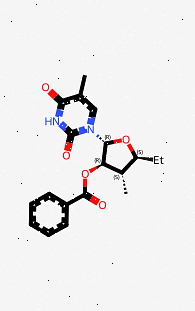 CC[C@@H]1O[C@@H](n2cc(C)c(=O)[nH]c2=O)[C@H](OC(=O)c2ccccc2)[C@H]1C